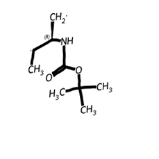 [CH2][C@H]([CH]C)NC(=O)OC(C)(C)C